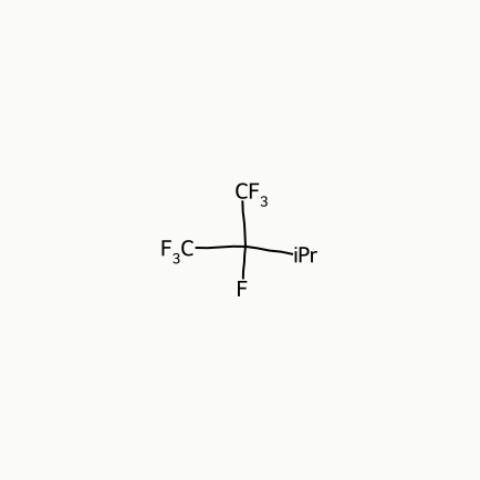 CC(C)C(F)(C(F)(F)F)C(F)(F)F